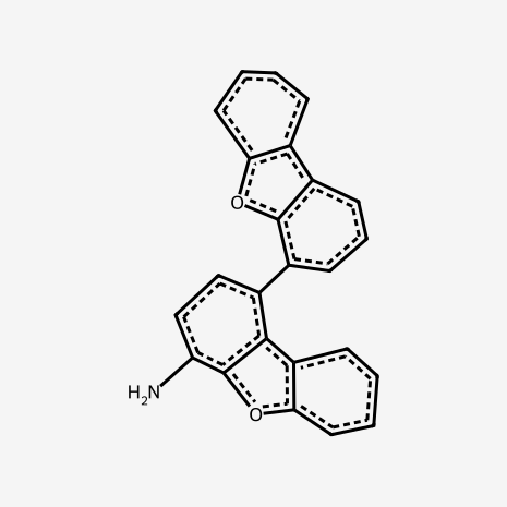 Nc1ccc(-c2cccc3c2oc2ccccc23)c2c1oc1ccccc12